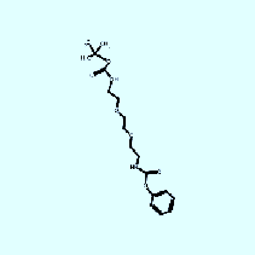 CC(C)(C)OC(=O)NCCOCCOCCNC(=O)Oc1ccccc1